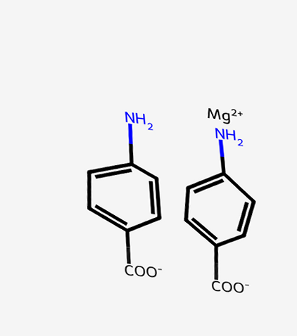 Nc1ccc(C(=O)[O-])cc1.Nc1ccc(C(=O)[O-])cc1.[Mg+2]